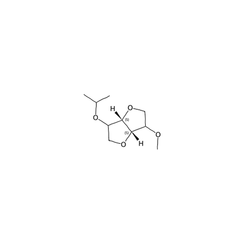 COC1CO[C@H]2C(OC(C)C)CO[C@@H]12